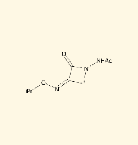 CC(=O)NN1CC(=NOC(C)C)C1=O